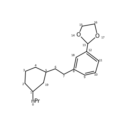 CCCC1CCCC(CCc2cccc(C3OCCO3)c2)C1